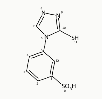 O=S(=O)(O)c1cccc(-n2cnnc2S)c1